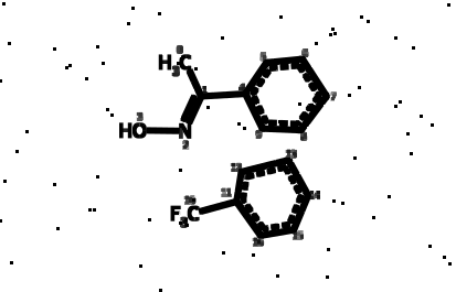 CC(=NO)c1ccccc1.FC(F)(F)c1ccccc1